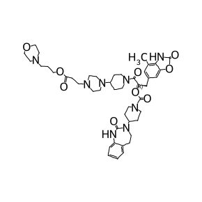 Cc1cc(C[C@@H](OC(=O)N2CCC(N3CCc4ccccc4NC3=O)CC2)C(=O)N2CCC(N3CCN(CCC(=O)OCCCN4CCOCC4)CC3)CC2)cc2oc(=O)[nH]c12